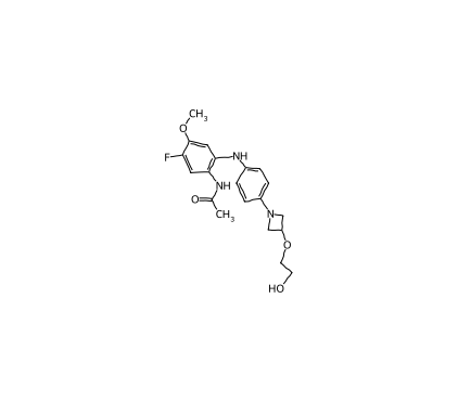 COc1cc(Nc2ccc(N3CC(OCCO)C3)cc2)c(NC(C)=O)cc1F